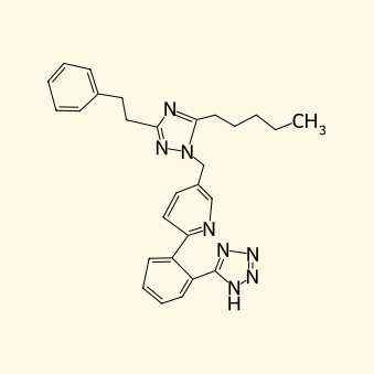 CCCCCc1nc(CCc2ccccc2)nn1Cc1ccc(-c2ccccc2-c2nnn[nH]2)nc1